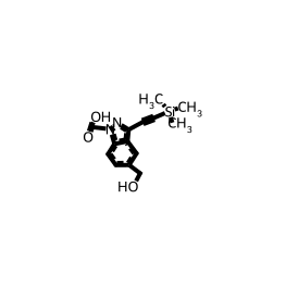 C[Si](C)(C)C#Cc1nn(C(=O)O)c2ccc(CO)cc12